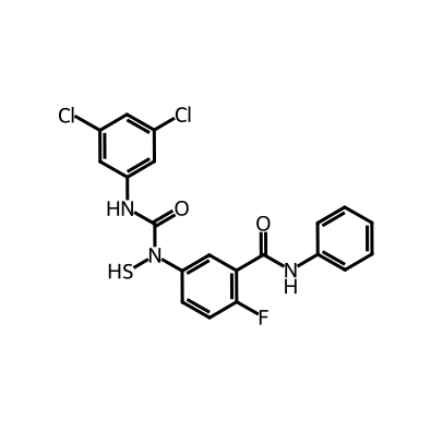 O=C(Nc1ccccc1)c1cc(N(S)C(=O)Nc2cc(Cl)cc(Cl)c2)ccc1F